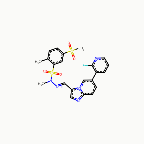 Cc1ccc(S(C)(=O)=O)cc1S(=O)(=O)N(C)/N=C/c1cnc2ccc(-c3cccnc3F)cn12